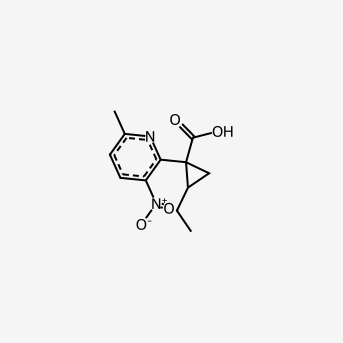 CCC1CC1(C(=O)O)c1nc(C)ccc1[N+](=O)[O-]